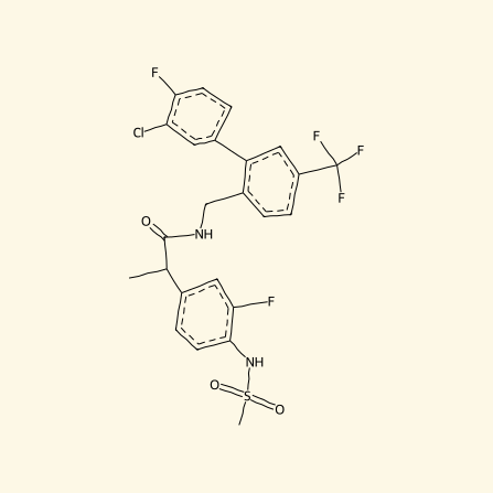 CC(C(=O)NCc1ccc(C(F)(F)F)cc1-c1ccc(F)c(Cl)c1)c1ccc(NS(C)(=O)=O)c(F)c1